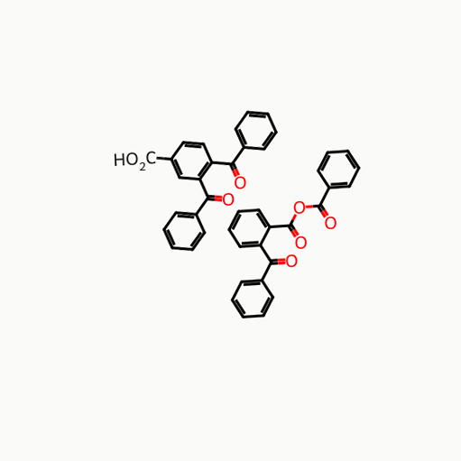 O=C(O)c1ccc(C(=O)c2ccccc2)c(C(=O)c2ccccc2)c1.O=C(OC(=O)c1ccccc1C(=O)c1ccccc1)c1ccccc1